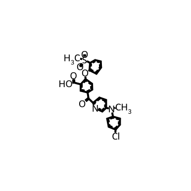 CN(c1ccc(Cl)cc1)c1ccc(C(=O)c2ccc(Oc3ccccc3S(C)(=O)=O)c(C(=O)O)c2)nc1